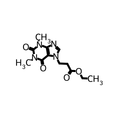 CCOC(=O)CCn1cnc2c1c(=O)n(C)c(=O)n2C